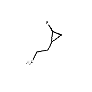 CCCC1CC1F